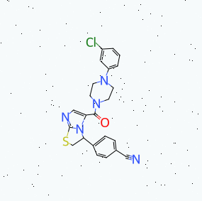 N#Cc1ccc(C2CSc3ncc(C(=O)N4CCN(c5cccc(Cl)c5)CC4)n32)cc1